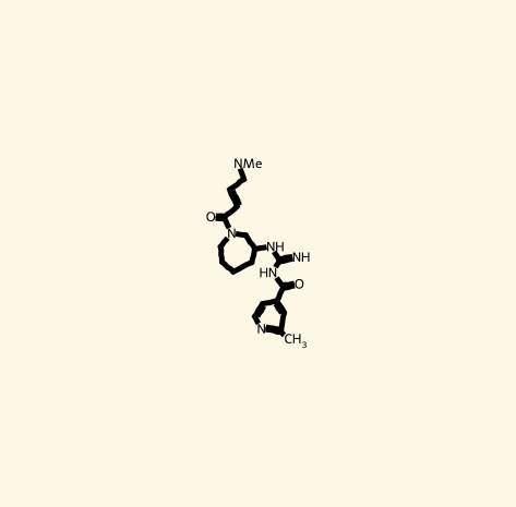 CNC/C=C/C(=O)N1CCCCC(NC(=N)NC(=O)c2ccnc(C)c2)C1